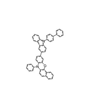 c1ccc(-c2ccc(-n3c4ccccc4c4cc(-c5ccc6c(c5)Oc5c(ccc7ccccc57)N6c5ccccc5)ccc43)cc2)cc1